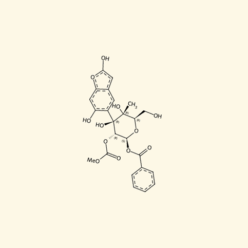 COC(=O)O[C@H]1[C@H](OC(=O)c2ccccc2)O[C@H](CO)[C@@](C)(O)[C@@]1(O)c1cc2cc(O)oc2cc1O